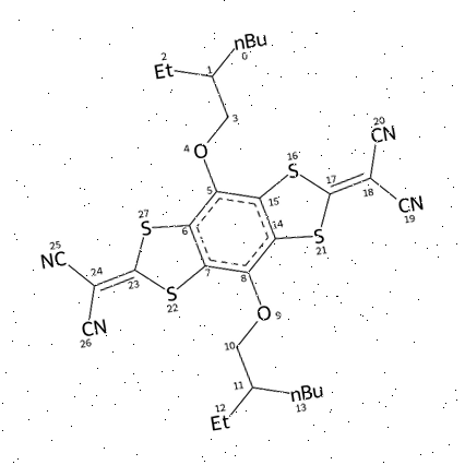 CCCCC(CC)COc1c2c(c(OCC(CC)CCCC)c3c1SC(=C(C#N)C#N)S3)SC(=C(C#N)C#N)S2